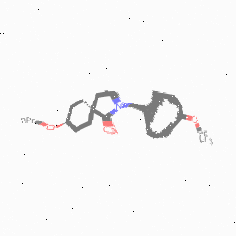 CCCO[C@H]1CC[C@@]2(CCN(c3ccc(OC(F)(F)F)cc3)C2=O)CC1